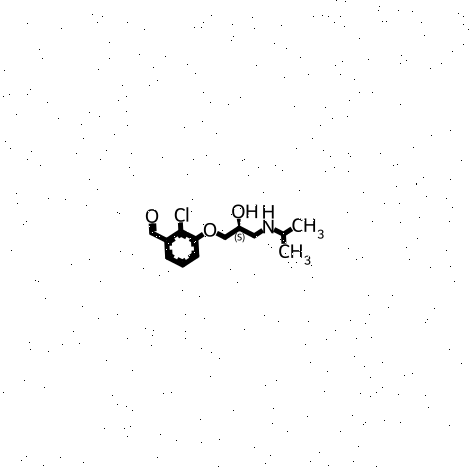 CC(C)NC[C@H](O)COc1cccc(C=O)c1Cl